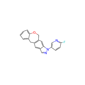 Fc1ccc(-n2ncc3cc4c(cc32)COc2ccccc2C4)cn1